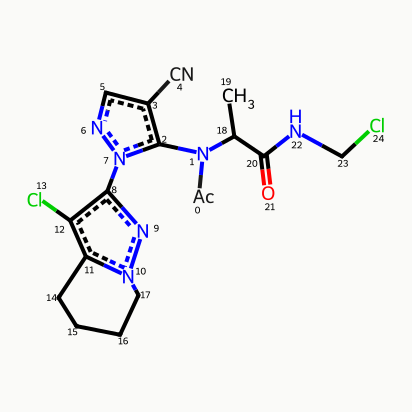 CC(=O)N(c1c(C#N)cnn1-c1nn2c(c1Cl)CCCC2)C(C)C(=O)NCCl